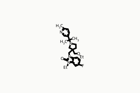 CCOCC1(Cn2c(=O)n(CC)c3cc(F)ccc32)CCN(C(C)(C)c2ccc(C)nc2)C1